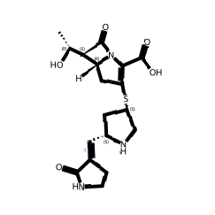 C[C@@H](O)[C@H]1C(=O)N2C(C(=O)O)=C(S[C@@H]3CN[C@H](/C=C4\CCNC4=O)C3)C[C@H]12